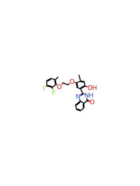 Cc1cc(O)c(-c2nc3ccccc3c(=O)[nH]2)cc1OCCOc1c(C)ccc(F)c1F